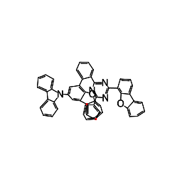 c1ccc(-c2nc(-c3ccccc3-c3cc(-n4c5ccccc5c5ccccc54)cc4c3oc3ccccc34)nc(-c3cccc4c3oc3ccccc34)n2)cc1